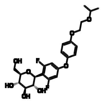 CC(C)OCCOc1ccc(Oc2cc(F)c([C@@H]3O[C@H](CO)[C@@H](O)[C@H](O)[C@H]3O)c(F)c2)cc1